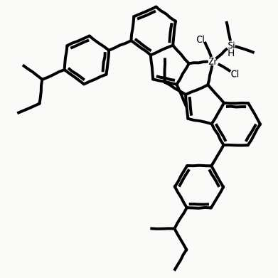 CCC1=Cc2c(-c3ccc(C(C)CC)cc3)cccc2[CH]1[Zr]([Cl])([Cl])([CH]1C(C)=Cc2c(-c3ccc(C(C)CC)cc3)cccc21)[SiH](C)C